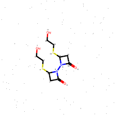 O=C1CC(SCCO)N1N1C(=O)CC1SCCO